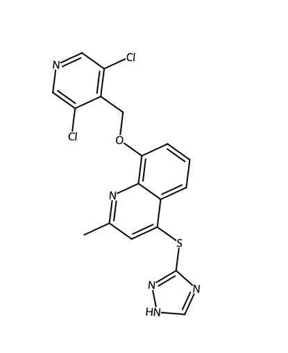 Cc1cc(Sc2nc[nH]n2)c2cccc(OCc3c(Cl)cncc3Cl)c2n1